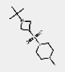 CN1CCN(S(=O)(=O)C2CN(C(C)(C)C)C2)CC1